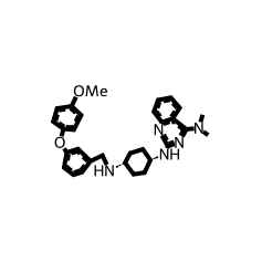 COc1ccc(Oc2cccc(CN[C@H]3CC[C@@H](Nc4nc(N(C)C)c5ccccc5n4)CC3)c2)cc1